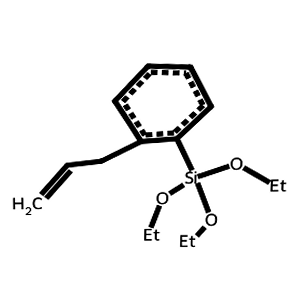 C=CCc1ccccc1[Si](OCC)(OCC)OCC